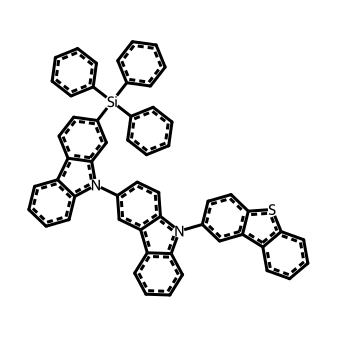 c1ccc([Si](c2ccccc2)(c2ccccc2)c2ccc3c4ccccc4n(-c4ccc5c(c4)c4ccccc4n5-c4ccc5sc6ccccc6c5c4)c3c2)cc1